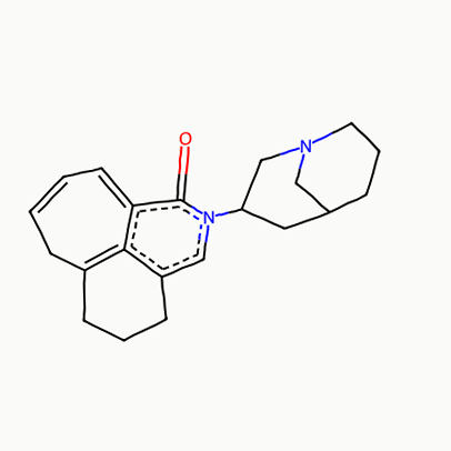 O=c1c2c3c(cn1C1CC4CCCN(C4)C1)CCCC=3CC=CC=2